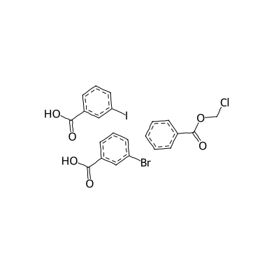 O=C(O)c1cccc(Br)c1.O=C(O)c1cccc(I)c1.O=C(OCCl)c1ccccc1